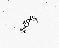 CCCC[C@@]1(CC)CCc2cc(N(C)C)ccc2S(=O)(=O)C1